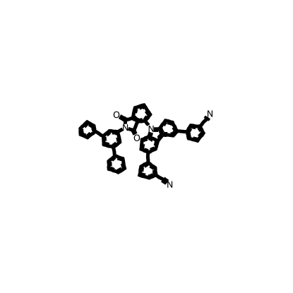 N#Cc1cccc(-c2ccc3c(c2)c2cc(-c4cccc(C#N)c4)ccc2n3-c2cccc3c2C(=O)N(c2cc(-c4ccccc4)cc(-c4ccccc4)c2)C3=O)c1